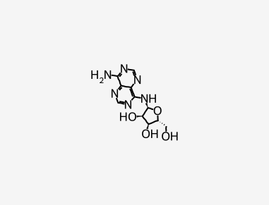 Nc1ncnc2c(N[C@H]3O[C@H](CO)[C@@H](O)[C@H]3O)ncnc12